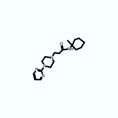 CC1(NC(=O)CCN2CCN(c3ncccn3)CC2)CCCCC1